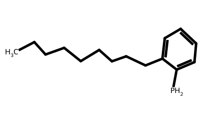 CCCCCCCCCc1ccccc1P